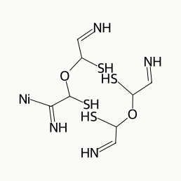 N=CC(S)OC(S)C=N.N=CC(S)OC(S)[C](=N)[Ni]